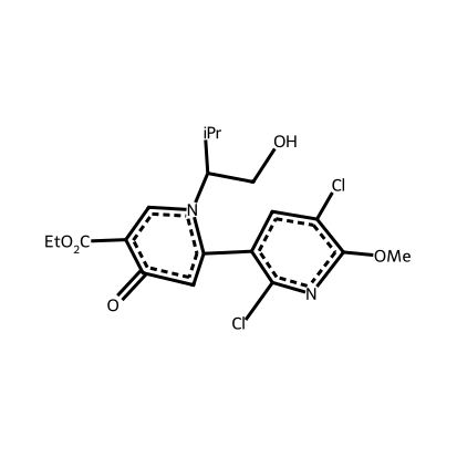 CCOC(=O)c1cn(C(CO)C(C)C)c(-c2cc(Cl)c(OC)nc2Cl)cc1=O